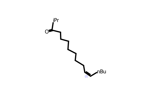 CCCC/C=C\CCCCCCCC(=O)C(C)C